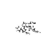 COc1cc2ncnc(-c3cn(C)nc3-c3ccccc3)c2nc1NC(=O)C12CC(N)(C1)C2